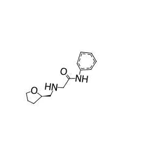 O=C(CNC[C@H]1CCCO1)Nc1ccccc1